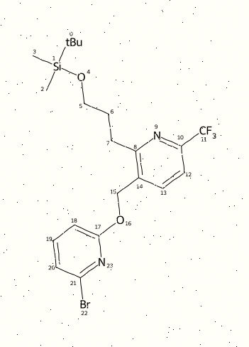 CC(C)(C)[Si](C)(C)OCCCc1nc(C(F)(F)F)ccc1COc1cccc(Br)n1